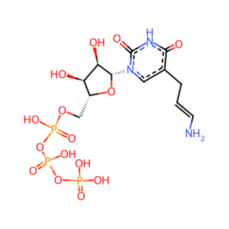 NC=CCc1cn([C@@H]2O[C@H](COP(=O)(O)OP(=O)(O)OP(=O)(O)O)[C@@H](O)[C@H]2O)c(=O)[nH]c1=O